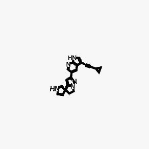 C(#CC1CC1)c1c[nH]c2ncc(-c3cc4n(n3)CCC43CCNC3)cc12